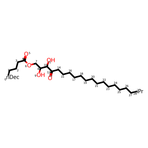 CCCCCCCCCCCCCC(=O)OCC(O)C(O)C(=O)CCCCCCCCCCCCCCC(C)C